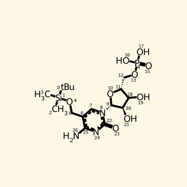 CC(C)(C)[Si](C)(C)OCc1cn([C@@H]2O[C@H](COP(=O)(O)O)C(O)[C@H]2O)c(=O)nc1N